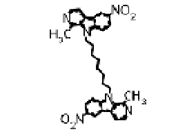 Cc1nccc2c3cc([N+](=O)[O-])ccc3n(CCCCCCCCn3c4ccc([N+](=O)[O-])cc4c4ccnc(C)c43)c12